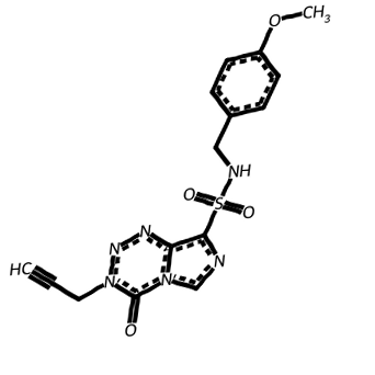 C#CCn1nnc2c(S(=O)(=O)NCc3ccc(OC)cc3)ncn2c1=O